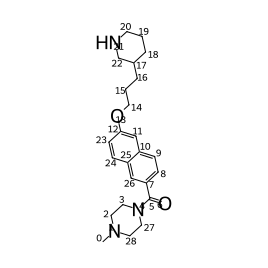 CN1CCN(C(=O)c2ccc3cc(OCCCC4CCCNC4)ccc3c2)CC1